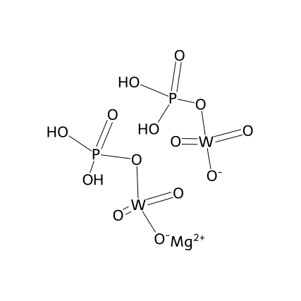 O=P(O)(O)[O][W](=[O])(=[O])[O-].O=P(O)(O)[O][W](=[O])(=[O])[O-].[Mg+2]